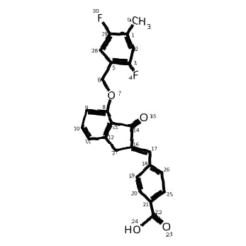 Cc1cc(F)c(COc2cccc3c2C(=O)/C(=C/c2ccc(C(=O)O)cc2)C3)cc1F